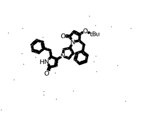 CC(C)(C)OC1=CC(=O)N(C2CCN(C3=CC(=O)NC3Cc3ccccc3)C2)C1Cc1ccccc1